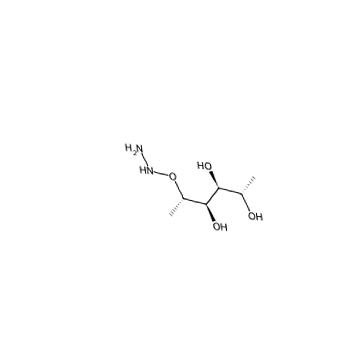 C[C@H](O)[C@H](O)[C@@H](O)[C@H](C)ONN